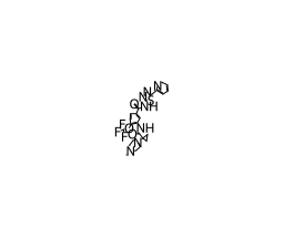 CN1CCN(C2(C(=O)Nc3cc(C(=O)Nc4nnc(-c5ccccn5)s4)ccc3OC(F)(F)F)CC2)CC1